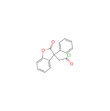 O=C(Cl)CC1(c2ccccc2)C(=O)Oc2ccccc21